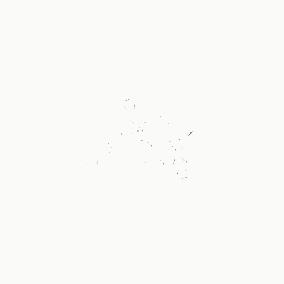 CCC#Cc1cc2n(c(=O)c1COC(=O)C(C)S)Cc1c-2nc2cc(F)c(C)c3c2c1C(NC(=O)C(OCNC(=O)CNC(=O)C(Cc1ccccc1)NC(=O)CNC(=O)CNC(=O)CCNCC(=O)O)C(F)(F)F)CC3